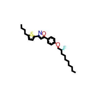 CCCCCCCC[C@H](F)COc1ccc(-c2cc(-c3ccc(CCCC)s3)no2)cc1